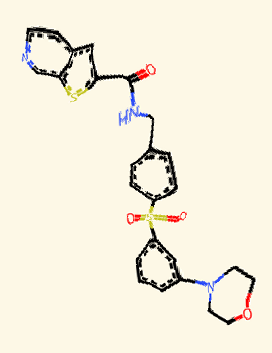 O=C(NCc1ccc(S(=O)(=O)c2cccc(N3CCOCC3)c2)cc1)c1cc2ccncc2s1